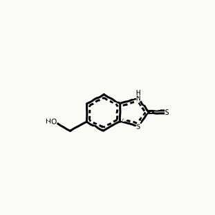 OCc1ccc2[nH]c(=S)sc2c1